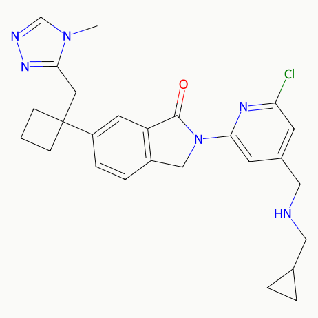 Cn1cnnc1CC1(c2ccc3c(c2)C(=O)N(c2cc(CNCC4CC4)cc(Cl)n2)C3)CCC1